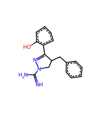 N=C(N)N1CC(Cc2ccccc2)C(c2ccccc2O)=N1